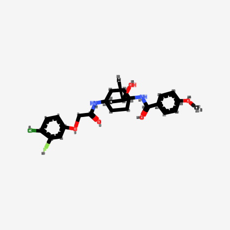 O=C(COc1ccc(Cl)c(F)c1)NC12CCC(NC(=O)c3ccc(OC(F)(F)F)cc3)(CC1)[C@@H](O)C2